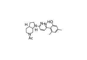 CC(=O)N1CC[C@H]2CCN(c3ccc(-c4c(C)cc(C)cc4O)nn3)[C@H]2C1